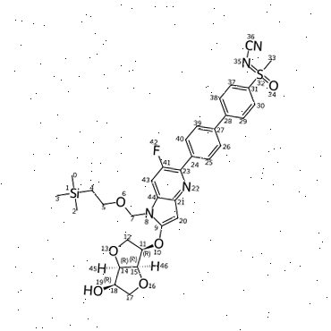 C[Si](C)(C)CCOCn1c(O[C@@H]2CO[C@H]3[C@@H]2OC[C@H]3O)cc2nc(-c3ccc(-c4ccc(S(C)(=O)=NC#N)cc4)cc3)c(F)cc21